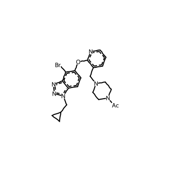 CC(=O)N1CCN(Cc2cccnc2Oc2ccc3c(nnn3CC3CC3)c2Br)CC1